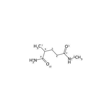 CNC(=O)CCC(C)C(N)=O